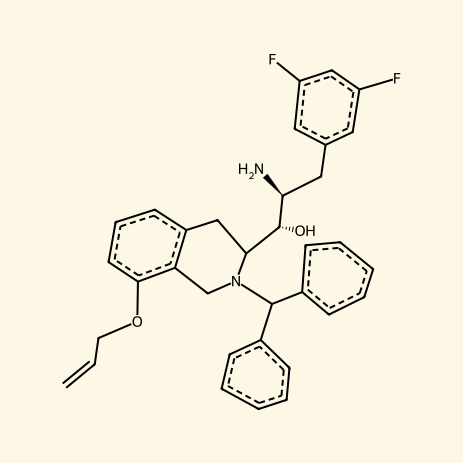 C=CCOc1cccc2c1CN(C(c1ccccc1)c1ccccc1)C([C@@H](O)[C@@H](N)Cc1cc(F)cc(F)c1)C2